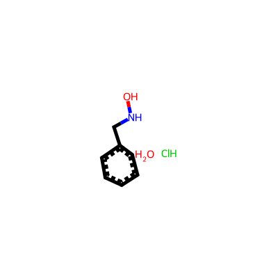 Cl.O.ONCc1ccccc1